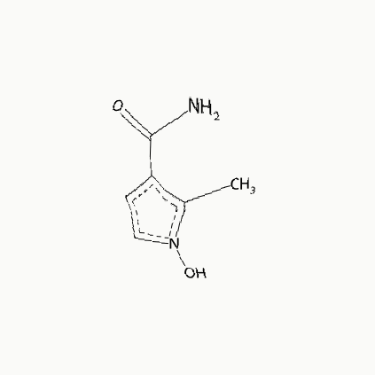 Cc1c(C(N)=O)ccn1O